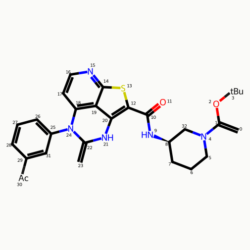 C=C(OC(C)(C)C)N1CCC[C@@H](NC(=O)c2sc3nccc4c3c2[nH]c(=C)n4-c2cccc(C(C)=O)c2)C1